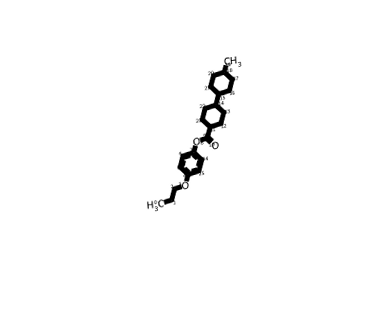 CCCOc1ccc(OC(=O)C2CCC(C3CCC(C)CC3)CC2)cc1